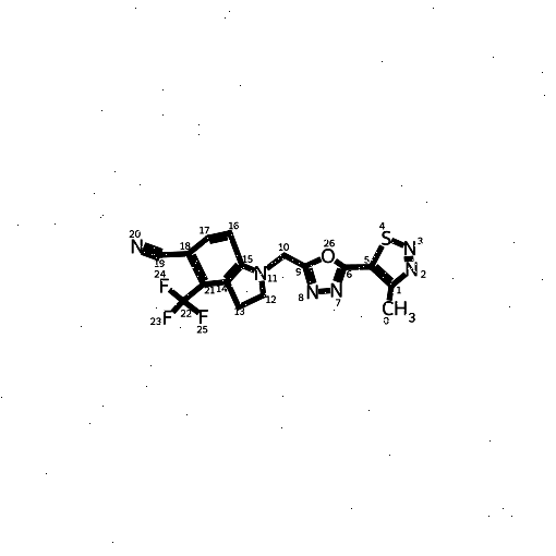 Cc1nnsc1-c1nnc(CN2CCc3c2ccc(C#N)c3C(F)(F)F)o1